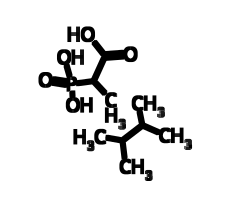 CC(C(=O)O)P(=O)(O)O.CC(C)C(C)C